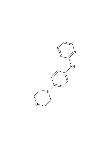 c1cnc(Nc2ccc(N3CCOCC3)cc2)cn1